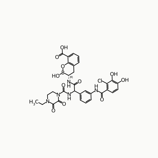 CCN1CCN(C(=O)NC(C(=O)N[C@H]2Cc3cccc(C(=O)O)c3OB2O)c2cccc(NC(=O)c3ccc(O)c(O)c3Cl)c2)C(=O)C1=O